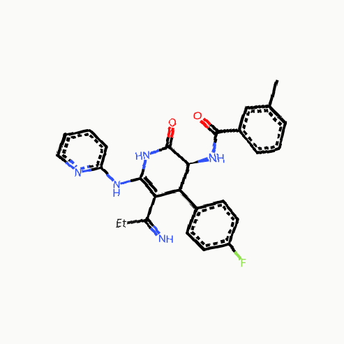 CCC(=N)C1=C(Nc2ccccn2)NC(=O)[C@@H](NC(=O)c2cccc(C)c2)C1c1ccc(F)cc1